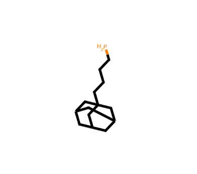 PCCCCC12CC3CC(CC(C3)C1)C2